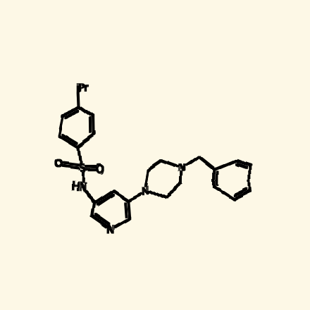 CC(C)c1ccc(S(=O)(=O)Nc2cncc(N3CCN(Cc4ccccc4)CC3)c2)cc1